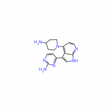 Nc1nccc(-c2c[nH]c3nccc(N4CCC(N)CC4)c23)n1